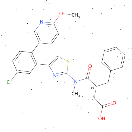 COc1ccc(-c2ccc(Cl)cc2-c2csc(N(C)C(=O)[C@@H](CC(=O)O)Cc3ccccc3)n2)cn1